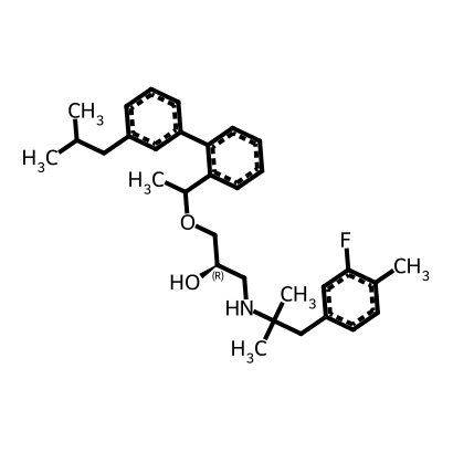 Cc1ccc(CC(C)(C)NC[C@@H](O)COC(C)c2ccccc2-c2cccc(CC(C)C)c2)cc1F